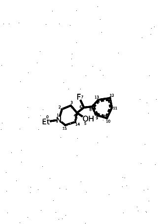 CCN1CCC(O)(C(F)c2ccccc2)CC1